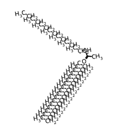 CC(=O)O.[CH2]C.[CH2]C.[CH2]C.[CH2]C.[CH2]C.[CH2]C.[CH2]C.[CH2]C.[CH2]C.[CH2]C.[CH2]C.[CH2]C.[CH2]C.[CH2]C.[CH2]C.[CH2]C.[CH2]C.[CH2]C.[CH2]C.[CH2]C.[CH2]C.[CH2]C.[CH2]C.[CH2]C